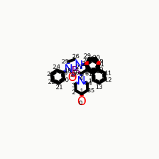 O=C1CCN(C(c2cccc3ccccc23)P2(=O)N(c3ccccc3)CCN2c2ccccc2)CC1